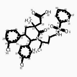 CC(CCNS(=O)(=O)c1ccccn1)N1C(=O)C(C)(CC(=O)O)CC(c2cccc(Cl)c2)C1c1ccc(Cl)cc1